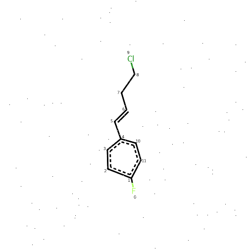 Fc1ccc(C=CCCCl)cc1